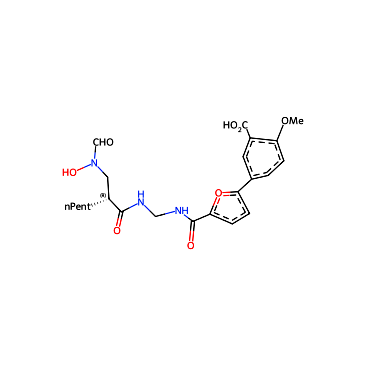 CCCCC[C@H](CN(O)C=O)C(=O)NCNC(=O)c1ccc(-c2ccc(OC)c(C(=O)O)c2)o1